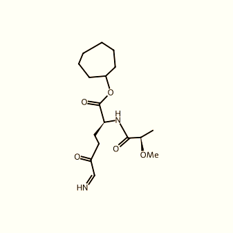 CO[C@H](C)C(=O)N[C@@H](CCC(=O)C=N)C(=O)OC1CCCCCC1